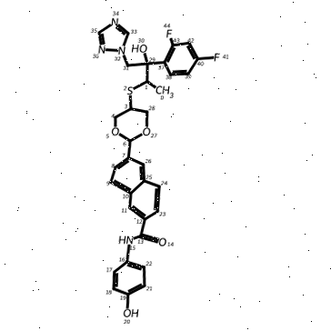 CC(SC1COC(c2ccc3cc(C(=O)Nc4ccc(O)cc4)ccc3c2)OC1)C(O)(Cn1cncn1)c1ccc(F)cc1F